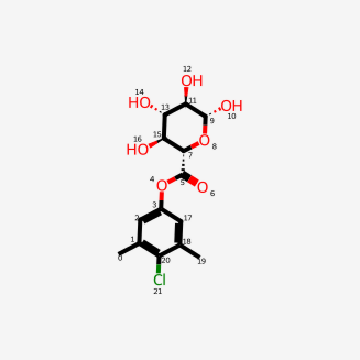 Cc1cc(OC(=O)[C@H]2O[C@@H](O)[C@H](O)[C@@H](O)[C@@H]2O)cc(C)c1Cl